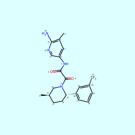 Cc1cc(NC(=O)C(=O)N2C[C@H](C)CC[C@H]2c2cccc(C(F)(F)F)c2)cnc1N